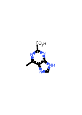 Cc1nc(C(=O)O)nc2[nH]cnc12